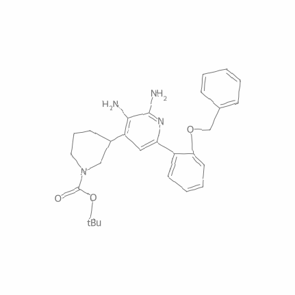 CC(C)(C)OC(=O)N1CCCC(c2cc(-c3ccccc3OCc3ccccc3)nc(N)c2N)C1